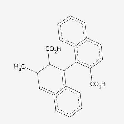 CC1C=c2ccccc2=C(c2c(C(=O)O)ccc3ccccc23)C1C(=O)O